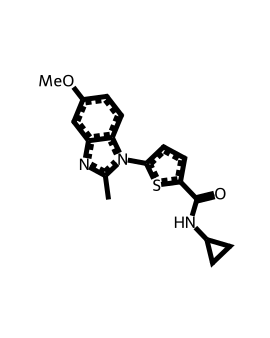 COc1ccc2c(c1)nc(C)n2-c1ccc(C(=O)NC2CC2)s1